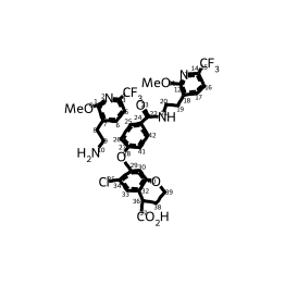 COc1nc(C(F)(F)F)ccc1CCN.COc1nc(C(F)(F)F)ccc1CCNC(=O)c1ccc(Oc2cc3c(cc2Cl)C(C(=O)O)CCO3)cc1